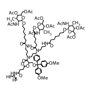 COc1ccc(C(OCC(OC(=O)CCC(=O)N[SH](=P)=S)C(=O)N(CCCNC(=O)CCCCCCO[C@@H]2OC(COC(C)=O)[C@H](OC(C)=O)[C@H](C)C2NC(C)=O)CCCN(CCCNC(=O)CCCCCCO[C@@H]2OC(COC(C)=O)[C@H](OC(C)=O)[C@H](C)C2NC(C)=O)C(=O)CCCCCCO[C@@H]2OC(COC(C)=O)[C@H](OC(C)=O)[C@H](C)C2NC(C)=O)(c2ccccc2)c2ccc(OC)cc2)cc1